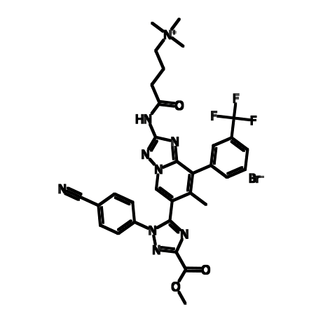 COC(=O)c1nc(-c2cn3nc(NC(=O)CCC[N+](C)(C)C)nc3c(-c3cccc(C(F)(F)F)c3)c2C)n(-c2ccc(C#N)cc2)n1.[Br-]